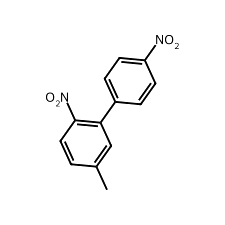 Cc1ccc([N+](=O)[O-])c(-c2ccc([N+](=O)[O-])cc2)c1